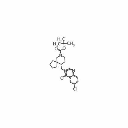 CC(C)(C)OC(=O)N1CC[C@@H](Cn2cnc3ccc(Cl)cc3c2=O)C2(CCCC2)C1